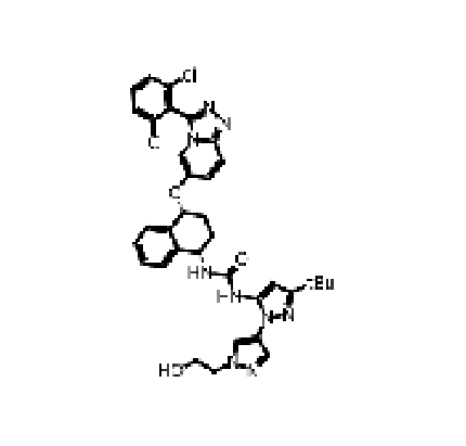 CC(C)(C)c1cc(NC(=O)N[C@H]2CC[C@@H](Oc3ccc4nnc(-c5c(Cl)cccc5Cl)n4c3)c3ccccc32)n(-c2cnn(CCO)c2)n1